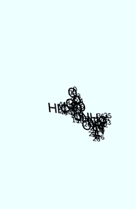 COc1ccc(OC)c(S(=O)(=O)C(c2cccc(NC(=O)Nc3cc(C(C)(C)C)nn3-c3ccc(C)cc3)c2)C2CCNCC2)c1